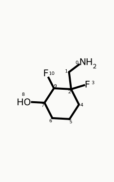 NCC1(F)CCCC(O)C1F